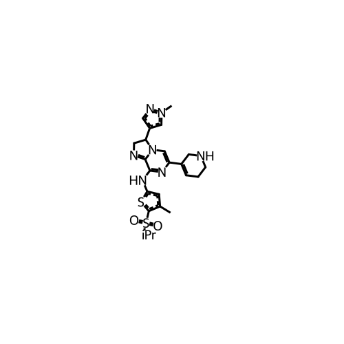 Cc1cc(NC2=NC(C3=CCCNC3)=CN3C2=NCC3c2cnn(C)c2)sc1S(=O)(=O)C(C)C